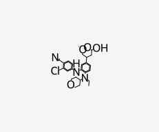 CCN(c1ccc(C(COC)CC(=O)O)cc1Nc1ccc(C#N)c(Cl)c1)C1CCOCC1